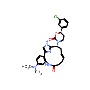 CN(C(=O)O)c1ccc2c(c1)NC(=O)CC/C=C/C[C@H](N1CC[C@H](c3cccc(Cl)c3)OC1=O)c1nc-2c[nH]1